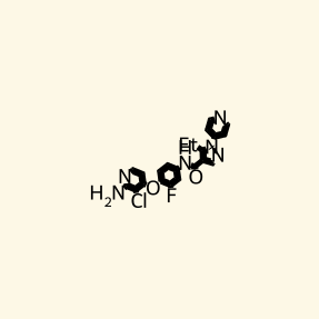 CCc1c(C(=O)Nc2ccc(Oc3ccnc(N)c3Cl)c(F)c2)cnn1-c1ccncc1